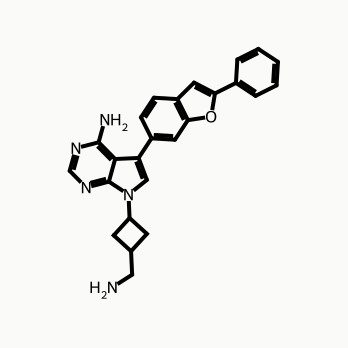 NCC1CC(n2cc(-c3ccc4cc(-c5ccccc5)oc4c3)c3c(N)ncnc32)C1